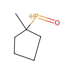 CC1([PH]=O)CCCC1